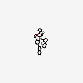 c1ccc(-c2ccc(-c3ccc4ccccc4c3)cc2N(c2ccc3c(c2)oc2ccccc23)c2cccc3c2oc2ccccc23)cc1